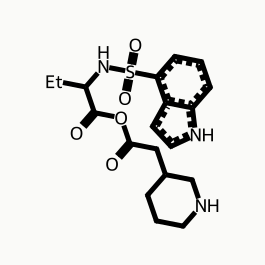 CCC(NS(=O)(=O)c1cccc2[nH]ccc12)C(=O)OC(=O)CC1CCCNC1